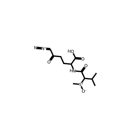 CC(C)C(C(=O)NC(CCC(=O)C=[N+]=[N-])C(=O)O)[S+](C)[O-]